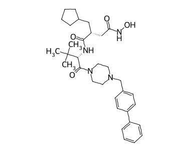 CC(C)(C)[C@H](NC(=O)[C@@H](CC(=O)NO)CC1CCCC1)C(=O)N1CCN(Cc2ccc(-c3ccccc3)cc2)CC1